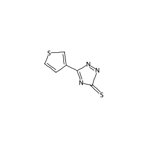 S=C1N=NC(c2ccsc2)=N1